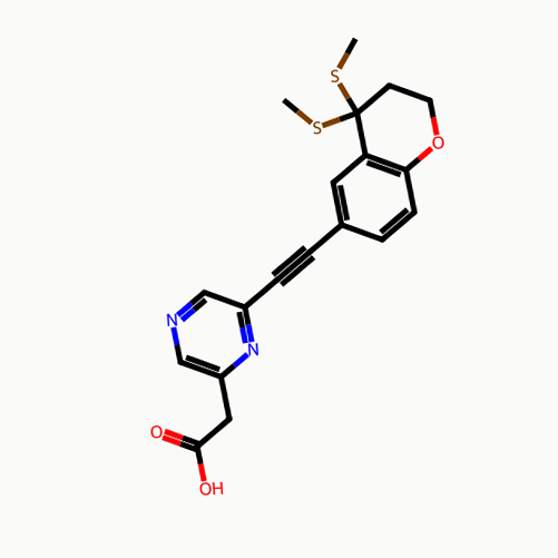 CSC1(SC)CCOc2ccc(C#Cc3cncc(CC(=O)O)n3)cc21